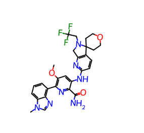 COc1cc(Nc2ccc3c(n2)CN(CC(F)(F)F)C32CCOCC2)c(C(N)=O)nc1-c1cccc2c1ncn2C